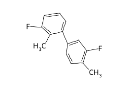 Cc1ccc(-c2cccc(F)c2C)cc1F